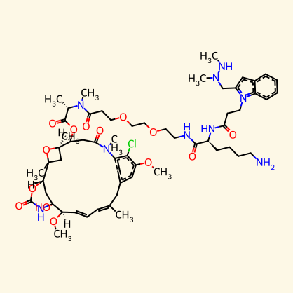 CNN(C)Cc1cc2ccccc2n1CCC(=O)N[C@@H](CCCCN)C(=O)NCCOCCOCCC(=O)N(C)[C@@H](C)C(=O)O[C@H]1CC(=O)N(C)c2cc(cc(OC)c2Cl)C/C(C)=C/C=C/[C@@H](OC)[C@@]2(O)C[C@H](OC(=O)N2)C2(C)C[C@@]1(C)O2